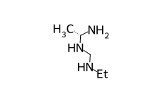 CCNCN[C@H](C)N